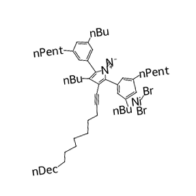 CCCCCCCCCCCCCCCCCC#CC1=C(c2cc(CCCC)cc(CCCCC)c2)[N+](=[N-])C(c2cc(CCCC)cc(CCCCC)c2)=C1CCCC.[Br][Ni][Br]